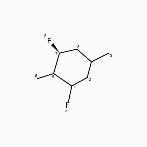 CC1CC(F)C(C)[C@@H](F)C1